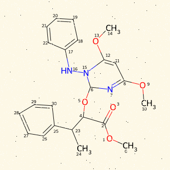 COC(=O)C(OC1N=C(OC)C=C(OC)N1Nc1ccccc1)C(C)c1ccccc1